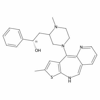 Cc1cc2c(s1)NC=c1cccnc1=C2N1CCN(C)C(C[C@H](O)c2ccccc2)C1